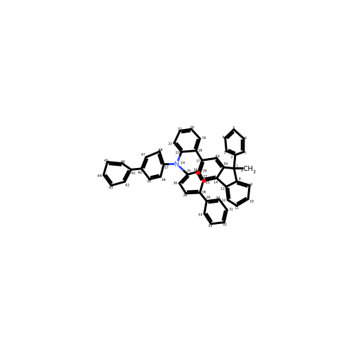 CC1(c2ccccc2)c2ccccc2-c2ccc(-c3ccccc3N(c3ccc(-c4ccccc4)cc3)c3ccc(-c4ccccc4)cc3)cc21